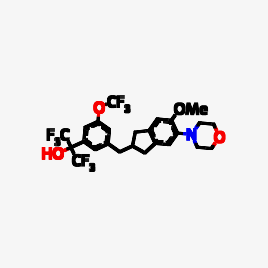 COc1cc2c(cc1N1CCOCC1)CC(Cc1cc(OC(F)(F)F)cc(C(O)(C(F)(F)F)C(F)(F)F)c1)C2